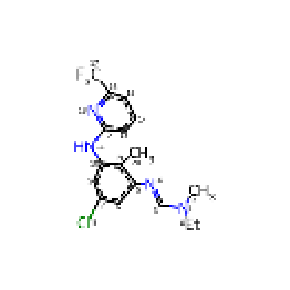 CCN(C)C=Nc1cc(Cl)cc(Nc2cccc(C(F)(F)F)n2)c1C